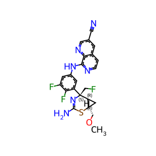 COC[C@@]12C[C@@H]1[C@@](CF)(c1cc(Nc3nccc4cc(C#N)cnc34)cc(F)c1F)N=C(N)S2